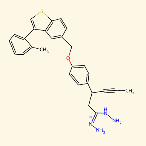 CC#CC(C/C(=N/N)NN)c1ccc(OCc2ccc3scc(-c4ccccc4C)c3c2)cc1